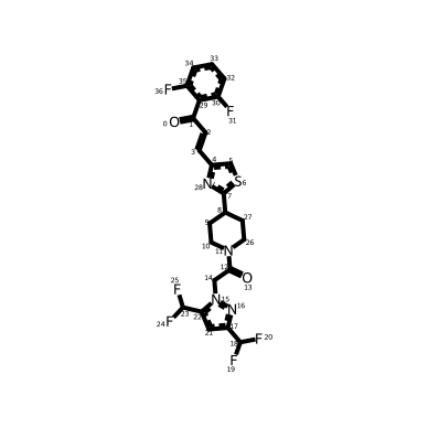 O=C(C=Cc1csc(C2CCN(C(=O)Cn3nc(C(F)F)cc3C(F)F)CC2)n1)c1c(F)cccc1F